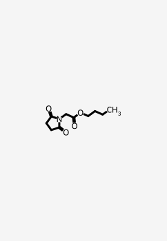 CCCCOC(=O)CN1C(=O)CCC1=O